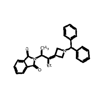 CCC(=C1CN(C(c2ccccc2)c2ccccc2)C1)C(C)N1C(=O)c2ccccc2C1=O